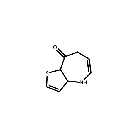 O=C1CC=CNC2C=CSC12